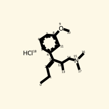 CCC=C(c1cccc(OC)c1)C(C)CN(C)C.Cl